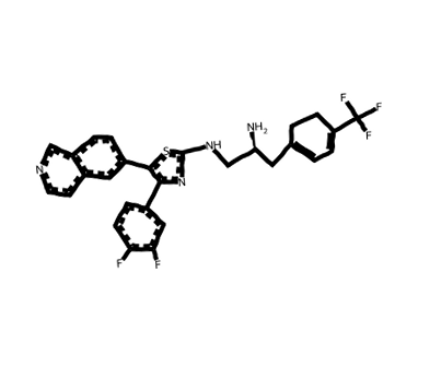 N[C@H](CNc1nc(-c2ccc(F)c(F)c2)c(-c2ccc3cnccc3c2)s1)CC1=CC=C(C(F)(F)F)CC1